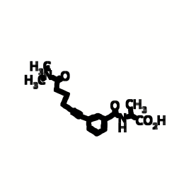 CC(NC(=O)c1cccc(C#CCCCC(=O)N(C)C)c1)C(=O)O